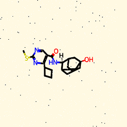 CSc1ncc(C(=O)N[C@H]2C3CC4CC2C[C@@](O)(C4)C3)c(C2CCC2)n1